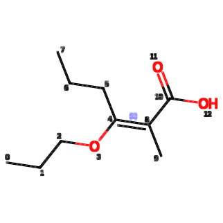 CCCO/C(CCC)=C(\C)C(=O)O